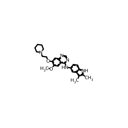 COc1cc2c(Nc3ccc4[nH]c(C)c(C)c4c3)ncnc2cc1OCCN1CCCCC1